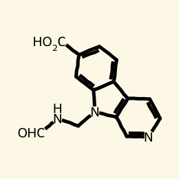 O=CNCn1c2cnccc2c2ccc(C(=O)O)cc21